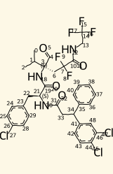 CC(C)[C@](C=O)(CC(F)(F)C(=O)NCC(F)(F)F)NC(=O)[C@H](Cc1ccc(Cl)cc1)NC(=O)CC(c1ccccc1)c1ccc(Cl)c(Cl)c1